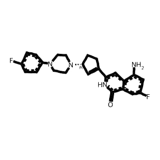 Nc1cc(F)cc2c(=O)[nH]c(C3=C[C@H](N4CCN(c5ccc(F)cc5)CC4)CC3)cc12